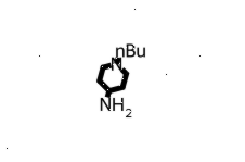 CCCCN1CCC(N)CC1